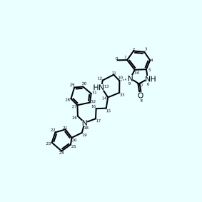 Cc1cccc2[nH]c(=O)n([C@H]3CCNC(CCCN(Cc4ccccc4)Cc4ccccc4)C3)c12